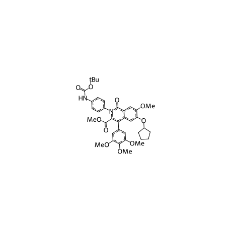 COC(=O)c1c(-c2cc(OC)c(OC)c(OC)c2)c2cc(OC3CCCC3)c(OC)cc2c(=O)n1-c1ccc(NC(=O)OC(C)(C)C)cc1